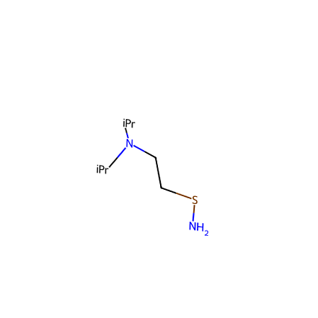 CC(C)N(CCSN)C(C)C